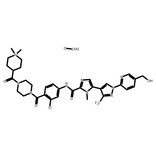 Cn1c(-c2cn(-c3ccc(CO)cn3)nc2C(F)(F)F)cnc1C(=O)Nc1ccc(C(=O)N2CCN(C(=O)C3CC[N+](C)(C)CC3)CC2)c(Cl)c1.O=C[O-]